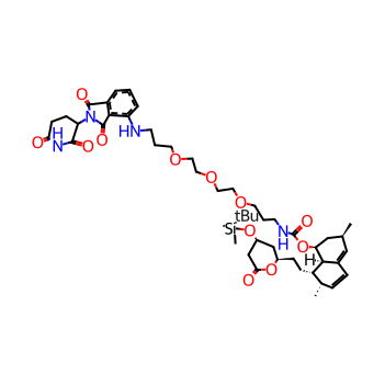 C[C@H]1C=C2C=C[C@H](C)[C@H](CC[C@@H]3C[C@@H](O[Si](C)(C)C(C)(C)C)CC(=O)O3)[C@H]2[C@@H](OC(=O)NCCCOCCOCCOCCCNc2cccc3c2C(=O)N(C2CCC(=O)NC2=O)C3=O)C1